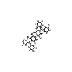 Cc1cccc(N(c2ccccc2)c2c(C)c(C)c(-c3c(C)c(C)c(N(c4ccccc4)c4cccc(C)c4)c(C)c3C)c(C)c2C)c1